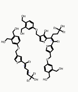 CC/C(=C(\CCC(O)(CC)CC)c1scc(COc2ccc(CO)c(CO)c2)c1O)c1cc(COc2ccc(CO)c(CO)c2)cs1.CC/C(=C\C=C\C(O)(CC)CC)c1cc(COc2ccc(CO)c(CO)c2)cs1